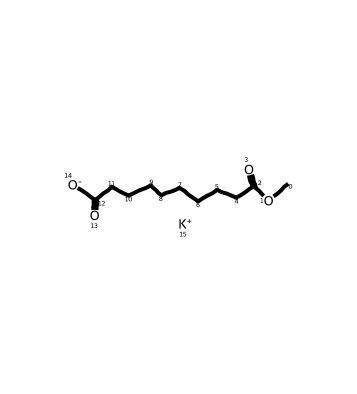 COC(=O)CCCCCCCCC(=O)[O-].[K+]